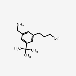 CC(C)(C)c1cc(CN)cc(CCCO)c1